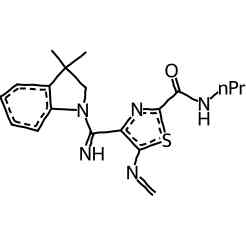 C=Nc1sc(C(=O)NCCC)nc1C(=N)N1CC(C)(C)c2ccccc21